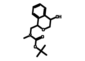 CN(CC1OCC(O)c2ccccc21)C(=O)OC(C)(C)C